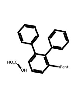 CCCCCc1cccc(-c2ccccc2)c1-c1ccccc1.O=C(O)O